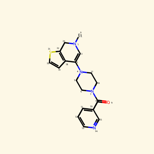 CCN1C=C(N2CCN(C(=O)c3cccnc3)CC2)c2ccsc2C1